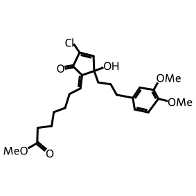 COC(=O)CCCCC/C=C1\C(=O)C(Cl)=CC1(O)CCCc1ccc(OC)c(OC)c1